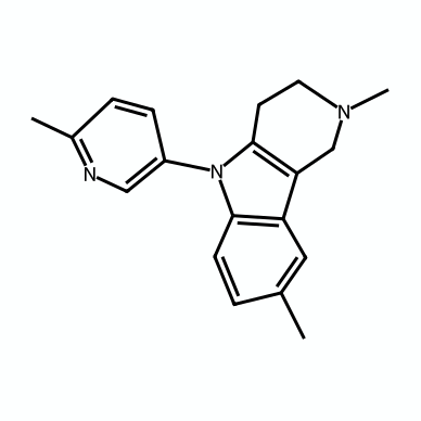 Cc1ccc2c(c1)c1c(n2-c2ccc(C)nc2)CCN(C)C1